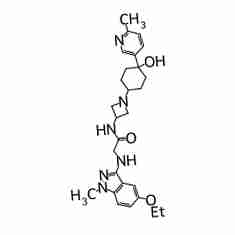 CCOc1ccc2c(c1)c(NCC(=O)NC1CN(C3CCC(O)(c4ccc(C)nc4)CC3)C1)nn2C